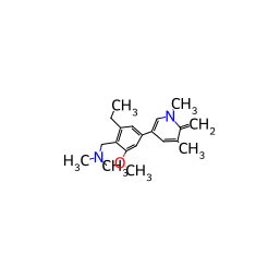 C=C1C(C)=CC(c2cc(CC)c(CN(C)C)c(OC)c2)=CN1C